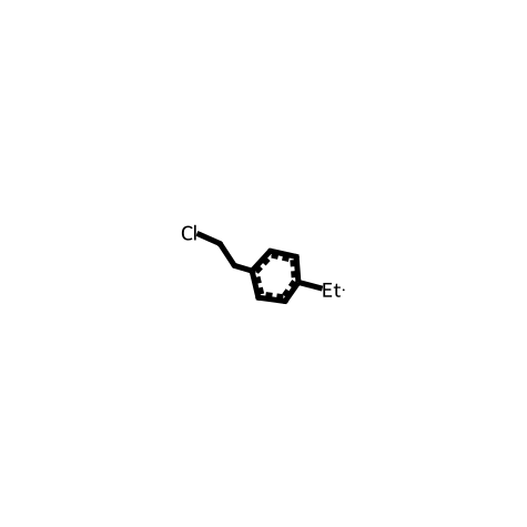 C[CH]c1ccc(CCCl)cc1